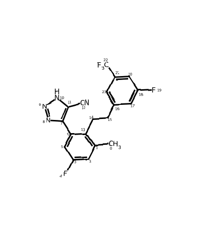 Cc1cc(F)cc(-c2nn[nH]c2C#N)c1CCc1cc(F)cc(C(F)(F)F)c1